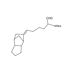 CCCCCCC(C=O)CCCC=C1CC2CC1C1CCCC21